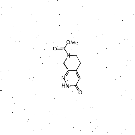 COC(=O)N1CCc2cc(=O)[nH]nc2C1